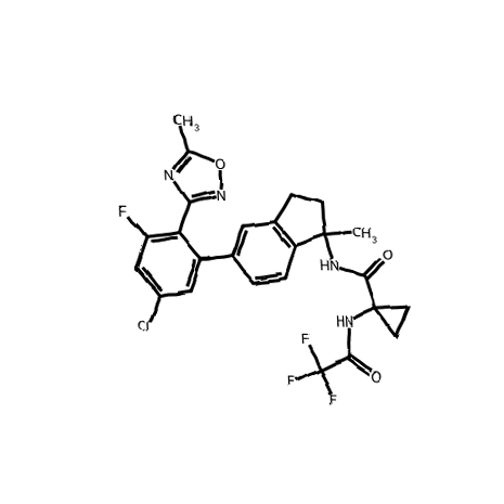 Cc1nc(-c2c(F)cc(Cl)cc2-c2ccc3c(c2)CCC3(C)NC(=O)C2(NC(=O)C(F)(F)F)CC2)no1